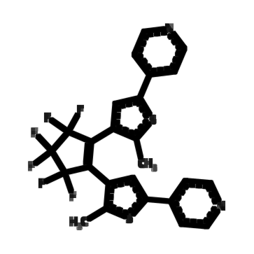 Cc1sc(-c2ccncc2)cc1C1=C(c2cc(-c3ccncc3)sc2C)C(F)(F)C(F)(F)C1(F)F